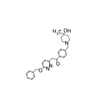 CC1(O)CCN(Cc2ccc(C(=O)Cc3ccc(OCc4ccccc4)nn3)cc2)CC1